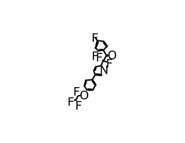 O=C(c1ccc(F)cc1F)C(F)(F)c1ccc(-c2ccc(OC(F)C(F)F)cc2)cn1